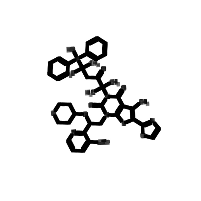 COc1cccnc1C(Cn1c(=O)n(C(C)(C)C(=O)CC(C)(C)[Si](O)(c2ccccc2)c2ccccc2)c(=O)c2c(C)c(-c3ncco3)sc21)OC1CCOCC1